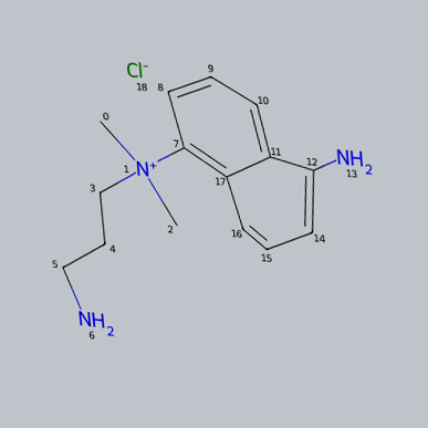 C[N+](C)(CCCN)c1cccc2c(N)cccc12.[Cl-]